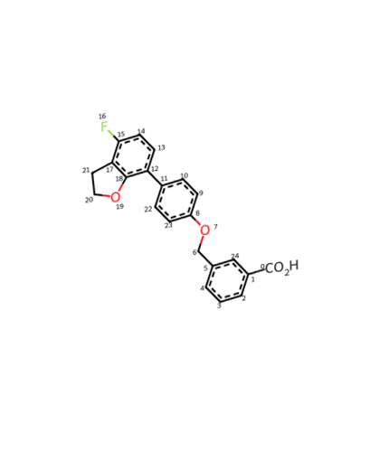 O=C(O)c1cccc(COc2ccc(-c3ccc(F)c4c3OCC4)cc2)c1